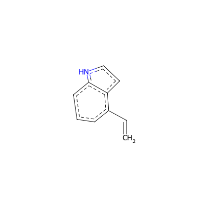 C=Cc1cccc2[nH]ccc12